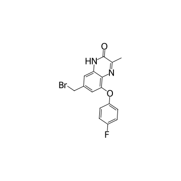 Cc1nc2c(Oc3ccc(F)cc3)cc(CBr)cc2[nH]c1=O